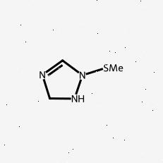 [CH2]SN1C=NCN1